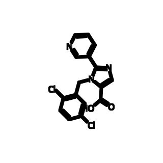 O=C(O)c1cnc(-c2cccnc2)n1Cc1cc(Cl)ccc1Cl